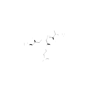 CO[C@H](C)C(=O)N[C@@H](CCC(=O)C=N)C(=O)OCCN(C)C